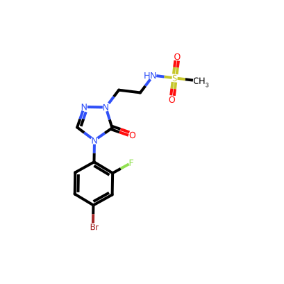 CS(=O)(=O)NCCn1ncn(-c2ccc(Br)cc2F)c1=O